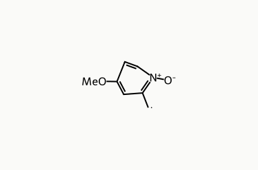 [CH2]c1cc(OC)cc[n+]1[O-]